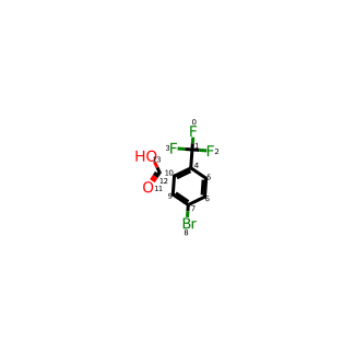 FC(F)(F)c1ccc(Br)cc1.O=CO